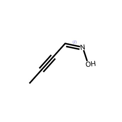 CC#C/C=N\O